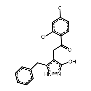 O=C(Cc1c(O)n[nH]c1Cc1ccccc1)c1ccc(Cl)cc1Cl